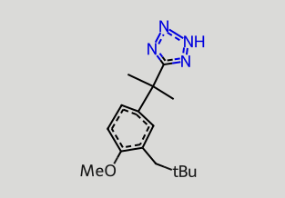 COc1ccc(C(C)(C)c2nn[nH]n2)cc1CC(C)(C)C